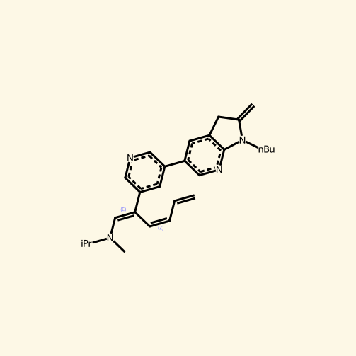 C=C/C=C\C(=C/N(C)C(C)C)c1cncc(-c2cnc3c(c2)CC(=C)N3CCCC)c1